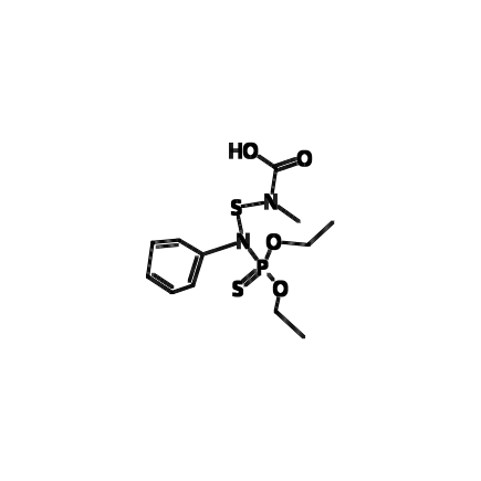 CCOP(=S)(OCC)N(SN(C)C(=O)O)c1ccccc1